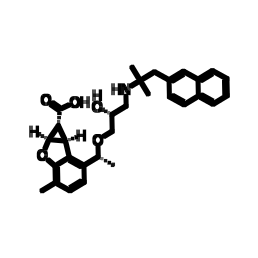 Cc1ccc([C@@H](C)OC[C@H](O)CNC(C)(C)Cc2ccc3ccccc3c2)c2c1O[C@H]1[C@H](C(=O)O)[C@@H]21